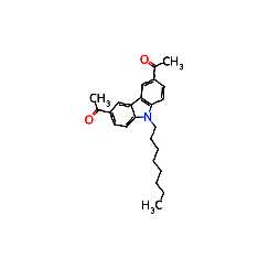 CCCCCCCCn1c2ccc(C(C)=O)cc2c2cc(C(C)=O)ccc21